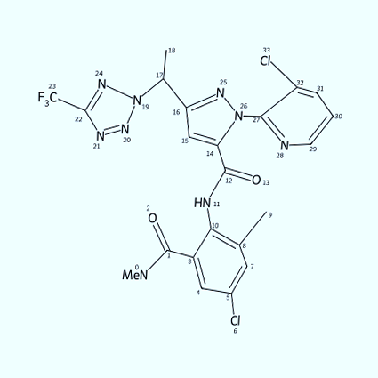 CNC(=O)c1cc(Cl)cc(C)c1NC(=O)c1cc(C(C)n2nnc(C(F)(F)F)n2)nn1-c1ncccc1Cl